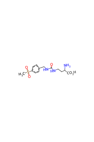 CS(=O)(=O)c1ccc(CNC(=O)NCCC(N)C(=O)O)cc1